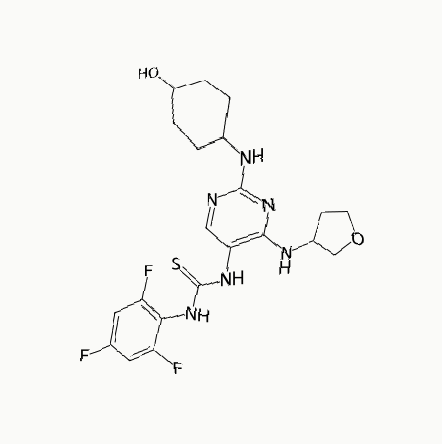 OC1CCC(Nc2ncc(NC(=S)Nc3c(F)cc(F)cc3F)c(NC3CCOC3)n2)CC1